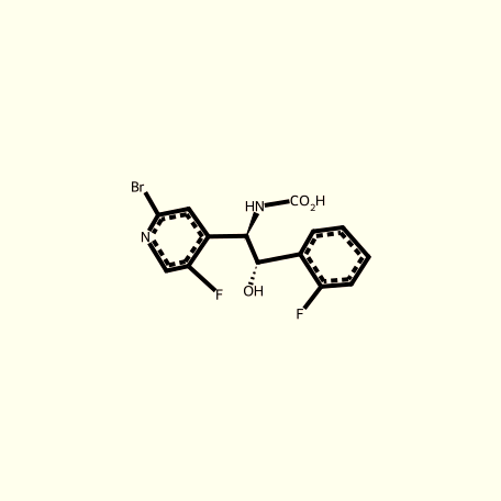 O=C(O)N[C@H](c1cc(Br)ncc1F)[C@@H](O)c1ccccc1F